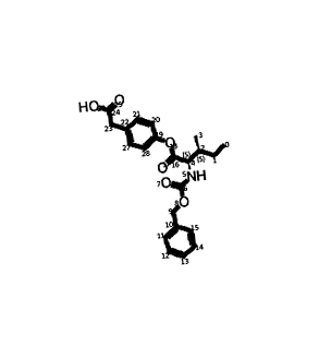 CC[C@H](C)[C@H](NC(=O)OCc1ccccc1)C(=O)Oc1ccc(CC(=O)O)cc1